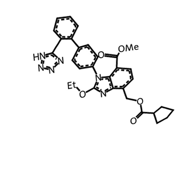 CCOc1nc2c(COC(=O)C3CCCC3)ccc(C(=O)OC)c2n1-c1ccc(-c2ccccc2-c2nnn[nH]2)cc1